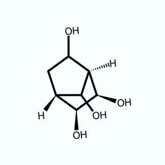 OC1C[C@@H]2C(O)[C@@H]1[C@@H](O)[C@H]2O